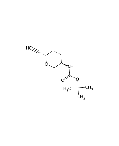 C#C[C@@H]1CC[C@@H](NC(=O)OC(C)(C)C)CO1